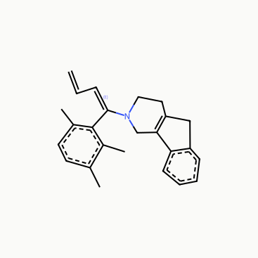 C=C/C=C(\c1c(C)ccc(C)c1C)N1CCC2=C(C1)c1ccccc1C2